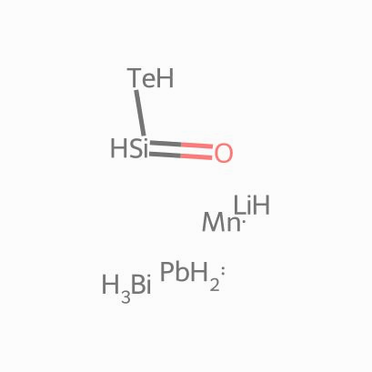 O=[SiH][TeH].[BiH3].[LiH].[Mn].[PbH2]